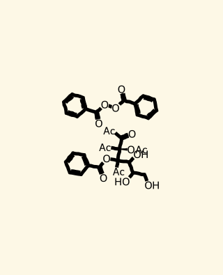 CC(=O)O[C@@](C(C)=O)(C(=O)C(C)=O)C(OC(=O)c1ccccc1)(C(C)=O)C(O)C(O)CO.O=C(OOC(=O)c1ccccc1)c1ccccc1